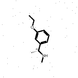 CCOc1cccc([C@@H](C)NC)c1